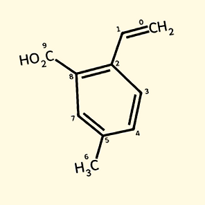 C=Cc1ccc(C)cc1C(=O)O